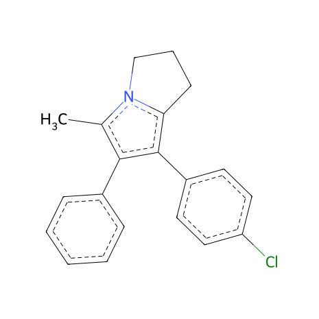 Cc1c(-c2ccccc2)c(-c2ccc(Cl)cc2)c2n1CCC2